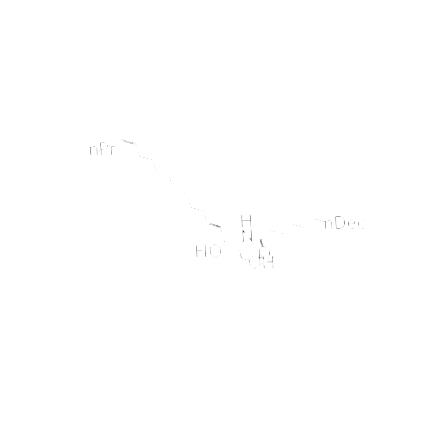 CCC/C=C\CCCCCCCC/C=C/[C@@H](O)[C@H](CO)NC(=O)CCCCCCCCCCCCCCC